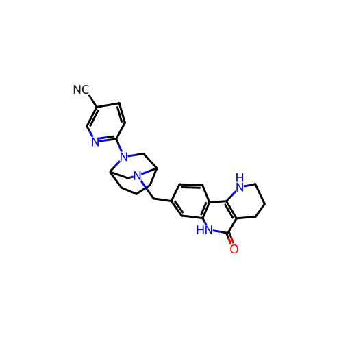 N#Cc1ccc(N2CC3CCCC2CN3Cc2ccc3c4c(c(=O)[nH]c3c2)CCCN4)nc1